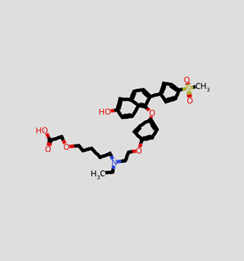 CCN(CCCCCOCC(=O)O)CCOc1ccc(Oc2c(-c3ccc(S(C)(=O)=O)cc3)ccc3cc(O)ccc23)cc1